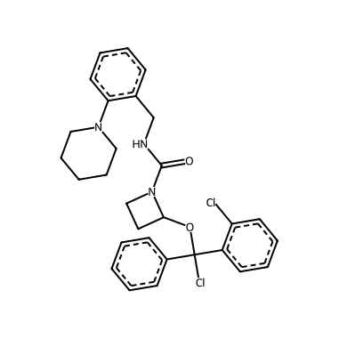 O=C(NCc1ccccc1N1CCCCC1)N1CCC1OC(Cl)(c1ccccc1)c1ccccc1Cl